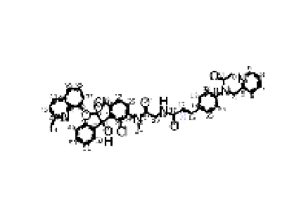 CC(=O)N(Cc1ccccn1)c1ccc(/C=C/C(=O)NCC(=O)N(C)c2ccc(Cl)c(C(O)(C(=O)Oc3cccc4ccc(C)nc34)c3ccccc3)c2Cl)cc1